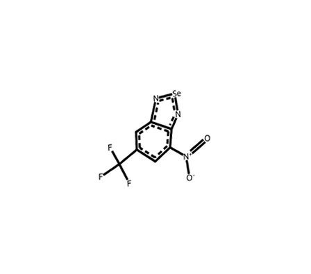 O=[N+]([O-])c1cc(C(F)(F)F)cc2n[se]nc12